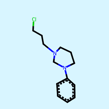 ClCCCN1CCCN(c2ccccc2)C1